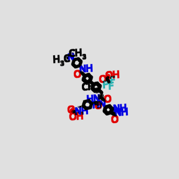 Cc1cc(C(=O)NC2CCC(N(C)C)CC2)ccc1-c1ccc(C[C@H](NC(=O)[C@H]2CC[C@H](CNC(=O)O)CC2)C(=O)Nc2ccc3c(=O)[nH][nH]c3c2)cc1.O=C(O)C(F)(F)F